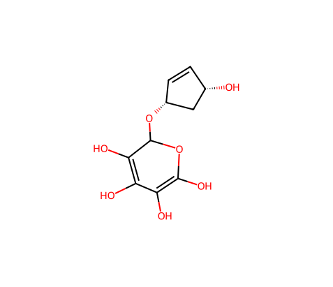 OC1=C(O)C(O)=C(O)C(O[C@@H]2C=C[C@H](O)C2)O1